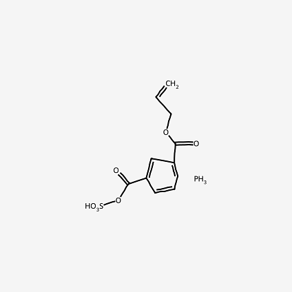 C=CCOC(=O)c1cccc(C(=O)OS(=O)(=O)O)c1.P